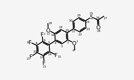 COc1cc(-c2c(F)c(F)c(F)c(F)c2F)c(OC)cc1-c1ccc(SC(C)=O)cc1